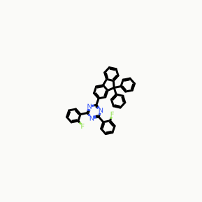 Fc1ccccc1-c1nc(-c2ccc3c(c2)C(c2ccccc2)(c2ccccc2)c2ccccc2-3)nc(-c2ccccc2F)n1